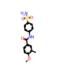 COc1ccc(C(=O)Nc2ccc(S(N)(=O)=O)cc2)cc1C